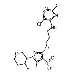 Cc1c([N+](=O)[O-])c(OCCCNc2nc(Cl)ncc2Cl)nn1C1COCCC1F